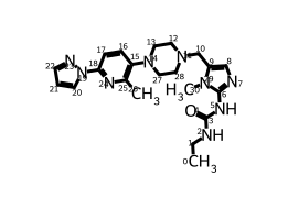 CCNC(=O)Nc1ncc(CN2CCN(c3ccc(-n4cccn4)nc3C)CC2)n1C